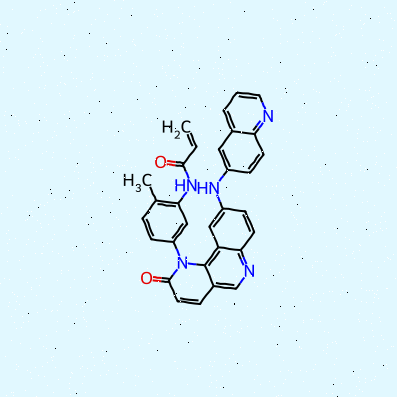 C=CC(=O)Nc1cc(-n2c(=O)ccc3cnc4ccc(Nc5ccc6ncccc6c5)cc4c32)ccc1C